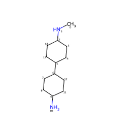 CNC1CCC(C2CCC(N)CC2)CC1